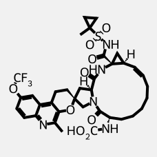 Cc1nc2ccc(OC(F)(F)F)cc2c2c1O[C@]1(CC2)C[C@H]2C(=O)N[C@]3(C(=O)NS(=O)(=O)C4(C)CC4)C[C@H]3C=CCCCCC[C@H](NC(=O)O)C(=O)N2C1